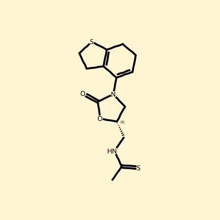 CC(=S)NC[C@H]1CN(C2=CCCC3=C2CCS3)C(=O)O1